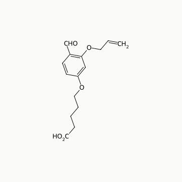 C=CCOc1cc(OCCCCC(=O)O)ccc1C=O